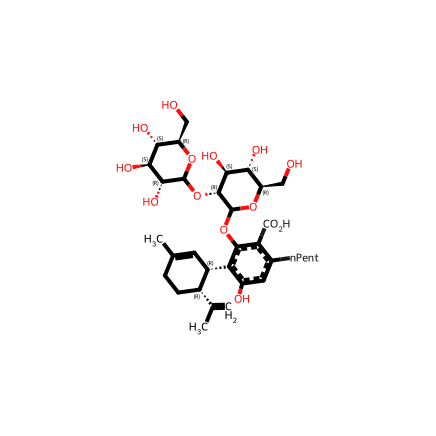 C=C(C)[C@@H]1CCC(C)=C[C@@H]1c1c(O)cc(CCCCC)c(C(=O)O)c1OC1O[C@H](CO)[C@@H](O)[C@H](O)[C@H]1OC1O[C@H](CO)[C@@H](O)[C@H](O)[C@H]1O